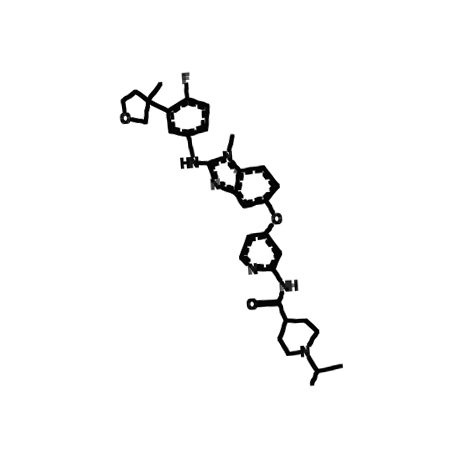 CC(C)N1CCC(C(=O)Nc2cc(Oc3ccc4c(c3)nc(Nc3ccc(F)c(C5(C)CCOC5)c3)n4C)ccn2)CC1